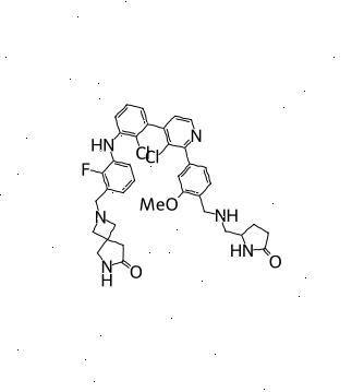 COc1cc(-c2nccc(-c3cccc(Nc4cccc(CN5CC6(CNC(=O)C6)C5)c4F)c3Cl)c2Cl)ccc1CNCC1CCC(=O)N1